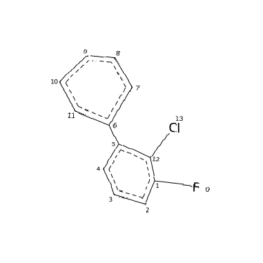 Fc1cccc(-c2ccccc2)c1Cl